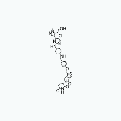 Cn1ncc(-c2nc(N[C@H]3CC[C@H](NCc4ccc(OCc5scc6c5CN(C5CCC(=O)NC5=O)C6=O)cc4)CC3)ncc2Cl)c1CCO